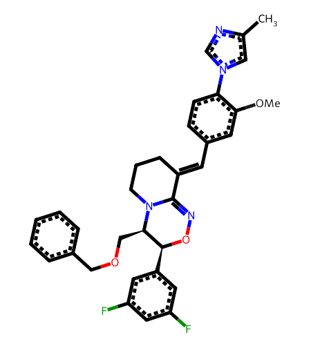 COc1cc(/C=C2\CCCN3C2=NO[C@@H](c2cc(F)cc(F)c2)[C@H]3COCc2ccccc2)ccc1-n1cnc(C)c1